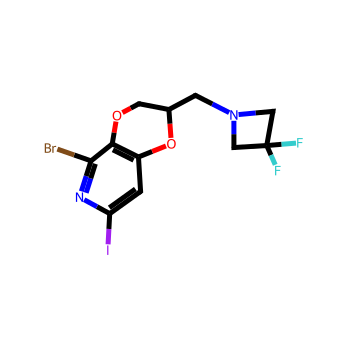 FC1(F)CN(CC2COc3c(cc(I)nc3Br)O2)C1